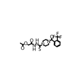 CC(=O)OCC(=O)NNC(=S)N1CCN(C(=O)c2ccccc2C(F)(F)F)CC1